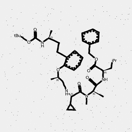 CC(C)C[C@@H](NC(=O)[C@@H](C)N(C)C(=O)[C@@H](NC[C@@H](C)Oc1ccccc1CC[C@H](C)NC(=O)OC(C)(C)C)C1CC1)C(=O)OCc1ccccc1